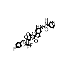 C[C@H](N(Cc1ccc(F)cc1)C(=O)CN1C(=O)O[C@]2(CCc3cc(NC(=O)Nc4cccnc4)ccc32)C1=O)C(F)(F)F